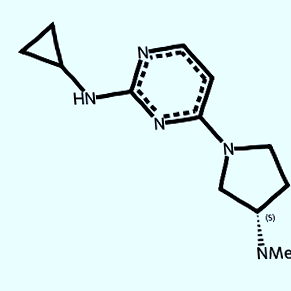 CN[C@H]1CCN(c2ccnc(NC3CC3)n2)C1